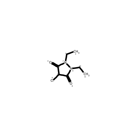 CCN1C(=O)C(Cl)C(=O)N1CC